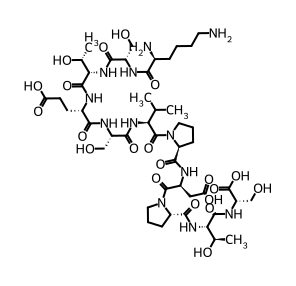 CC(C)[C@H](NC(=O)[C@H](CO)NC(=O)[C@H](CCC(=O)O)NC(=O)[C@@H](NC(=O)[C@H](CO)NC(=O)[C@@H](N)CCCCN)[C@@H](C)O)C(=O)N1CCC[C@H]1C(=O)N[C@@H](CC(=O)O)C(=O)N1CCC[C@H]1C(=O)N[C@H](C(=O)N[C@@H](CO)C(=O)O)[C@@H](C)O